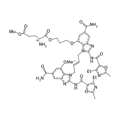 CCc1nc(C)oc1C(=O)Nc1nc2cc(C(N)=O)cc(OC)c2n1C/C=C/Cn1c(NC(=O)c2oc(C)nc2CC)nc2cc(C(N)=O)cc(OCCCOC(=O)[C@H](N)CCC(=O)OC(C)(C)C)c21